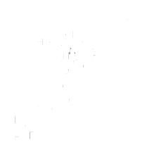 CC(C)(C)N(CC(=O)OCc1ccccc1)C(=O)OCOC(=O)c1ccc(C(F)(F)F)cc1